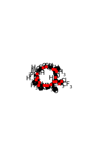 CC[C@H](C)[C@@H]1NC(=O)[C@H](CC(C)C)N(C)C(=O)C[C@@H](C(=O)N2CCCCC2)N(C)C(C2CCCCC2)N(C)C(=O)C2(CCCC2)NC(=O)[C@H](CC=C2CCOCC2)N(C)C(=O)[C@@H](CCc2ccc(C(F)(F)F)c(Cl)c2)NC(=O)CN(C)C(=O)[C@H](CC2CCCCC2)N(C)C(=O)CN(C)C(=O)CN(C)C1=O